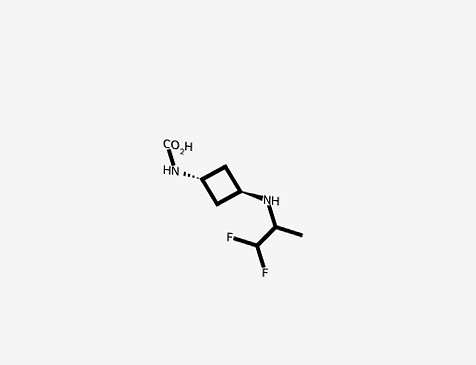 CC(N[C@H]1C[C@H](NC(=O)O)C1)C(F)F